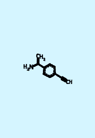 C#Cc1ccc(C(=C)N)cc1